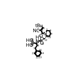 CC(C)(C)C=C(C#N)C(=O)N1CCCC[C@@H]1COC(=O)NC(CCc1ccccc1)B(O)O